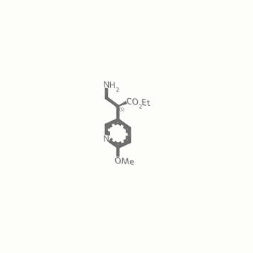 CCOC(=O)[C@H](CN)c1ccc(OC)nc1